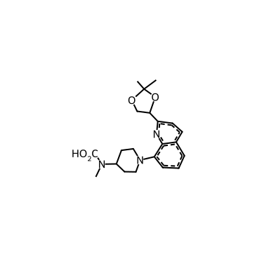 CN(C(=O)O)C1CCN(c2cccc3ccc(C4COC(C)(C)O4)nc23)CC1